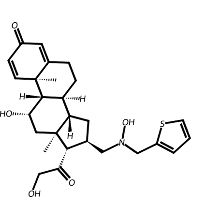 C[C@]12C[C@H](O)[C@H]3[C@@H](CCC4=CC(=O)C=C[C@@]43C)[C@@H]1C[C@@H](CN(O)Cc1cccs1)[C@@H]2C(=O)CO